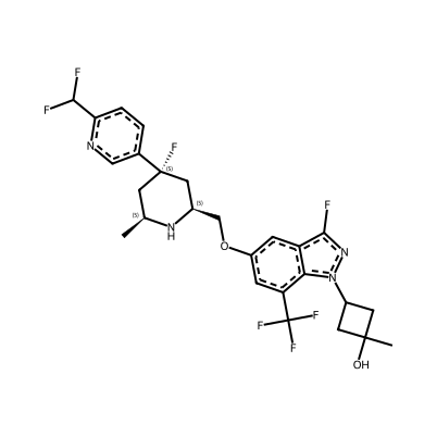 C[C@H]1C[C@@](F)(c2ccc(C(F)F)nc2)C[C@@H](COc2cc(C(F)(F)F)c3c(c2)c(F)nn3C2CC(C)(O)C2)N1